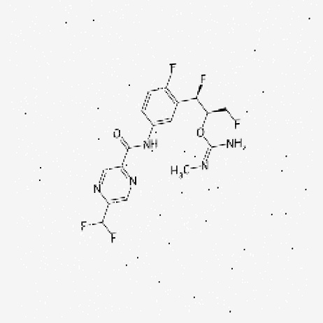 C/N=C(/N)O[C@H](CF)[C@H](F)c1cc(NC(=O)c2cnc(C(F)F)cn2)ccc1F